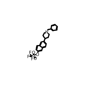 O=S(=O)(Oc1ccc2cc(C3CCN(Cc4ccccc4)CC3)ccc2c1)C(F)(F)F